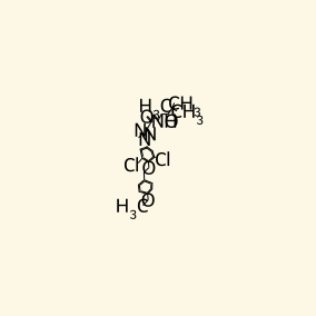 COc1ccc(COc2c(Cl)cc(-n3cnc(C(=O)NCC(=O)C(C)(C)C)n3)cc2Cl)cc1